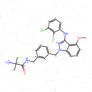 COc1cccc2c1c(Nc1cccc(Cl)c1Cl)nn2Cc1cccc(CNC(=O)C(C)(C)N)c1